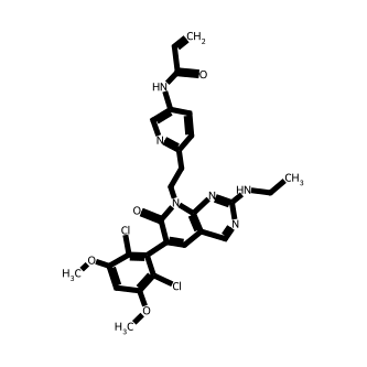 C=CC(=O)Nc1ccc(CCn2c(=O)c(-c3c(Cl)c(OC)cc(OC)c3Cl)cc3cnc(NCC)nc32)nc1